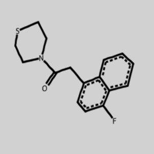 O=C(Cc1ccc(F)c2ccccc12)N1CCSCC1